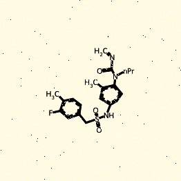 C=NC(=O)N(CCC)c1ccc(NS(=O)(=O)Cc2ccc(C)c(F)c2)cc1C